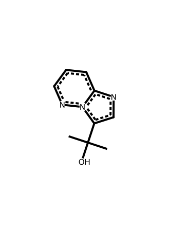 CC(C)(O)c1cnc2cccnn12